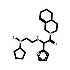 CCN(CCNC(C(=O)N1CCC2CCCC=C2C1)c1ccco1)C1CCCC1